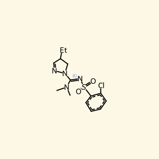 CCC1C=NN(/C(=N/S(=O)(=O)c2ccccc2Cl)N(C)C)C1